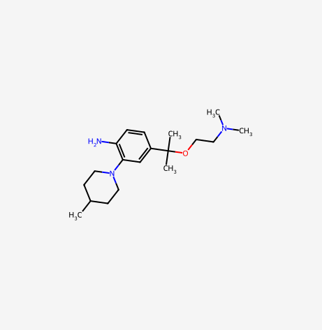 CC1CCN(c2cc(C(C)(C)OCCN(C)C)ccc2N)CC1